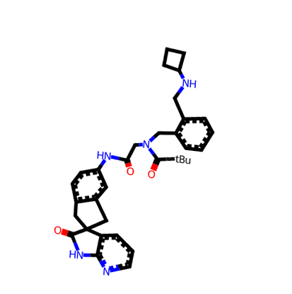 CC(C)(C)C(=O)N(CC(=O)Nc1ccc2c(c1)CC1(C2)C(=O)Nc2ncccc21)Cc1ccccc1CNC1CCC1